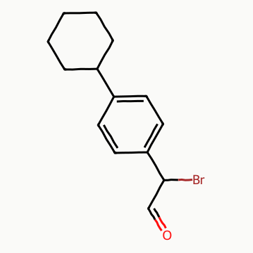 O=CC(Br)c1ccc(C2CCCCC2)cc1